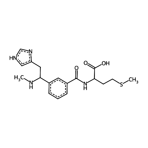 CNC(Cc1c[nH]cn1)c1cccc(C(=O)NC(CCSC)C(=O)O)c1